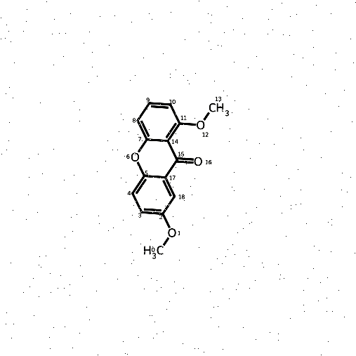 COc1ccc2oc3cccc(OC)c3c(=O)c2c1